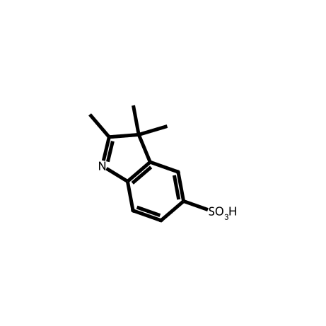 CC1=Nc2ccc(S(=O)(=O)O)cc2C1(C)C